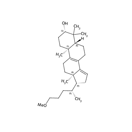 COCCC[C@@H](C)[C@H]1CC=C2C3=C(CC[C@@]21C)[C@@]1(C)CC[C@H](O)C(C)(C)[C@@H]1CC3